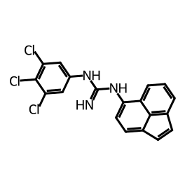 N=C(Nc1cc(Cl)c(Cl)c(Cl)c1)Nc1ccc2c3c(cccc13)C=C2